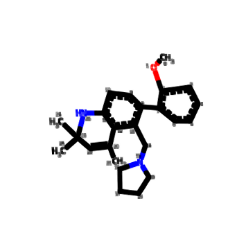 COc1ccccc1-c1ccc2c(c1CN1CCCC1)C(C)=CC(C)(C)N2